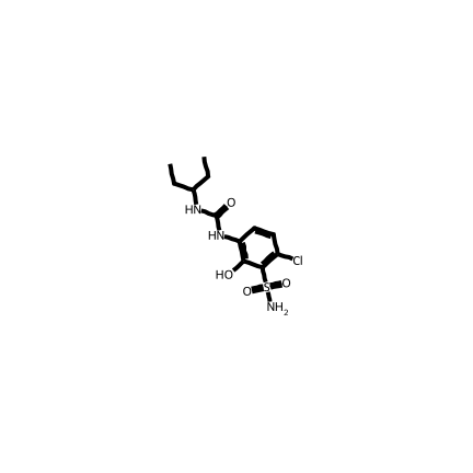 CCC(CC)NC(=O)Nc1ccc(Cl)c(S(N)(=O)=O)c1O